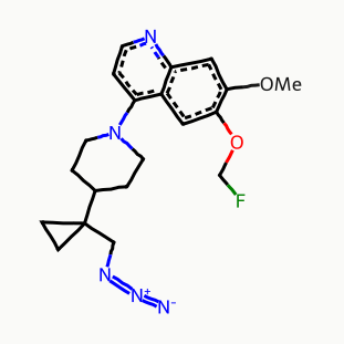 COc1cc2nccc(N3CCC(C4(CN=[N+]=[N-])CC4)CC3)c2cc1OCF